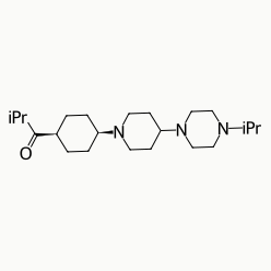 CC(C)C(=O)[C@H]1CC[C@@H](N2CCC(N3CCN(C(C)C)CC3)CC2)CC1